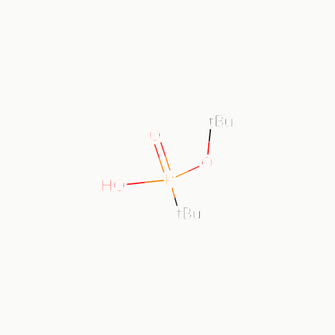 CC(C)(C)OP(=O)(O)C(C)(C)C